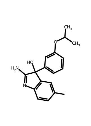 CC(C)Oc1cccc(C2(O)C(N)=Nc3ccc(I)cc32)c1